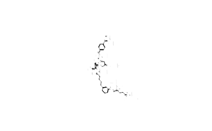 Cc1ncsc1-c1ccc([C@H](C)NC(=O)[C@@H]2C[C@@H](O)CN2C(=O)[C@@H](NC(=O)CCCCc2cccc(NC(=O)[C@@H](N)CCC(N)=O)c2)C(C)(C)C)cc1.Cl